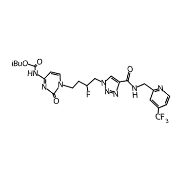 CC(C)COC(=O)Nc1ccn(CCC(F)Cn2cc(C(=O)NCc3cc(C(F)(F)F)ccn3)nn2)c(=O)n1